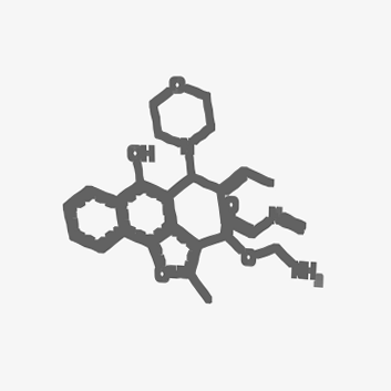 C=N/C=C\C(=C/C)C(c1c(O)c2ccccc2c2oc(C)c(C(=O)OCN)c12)N1CCOCC1